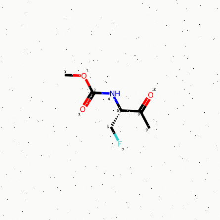 COC(=O)N[C@@H](CF)C(C)=O